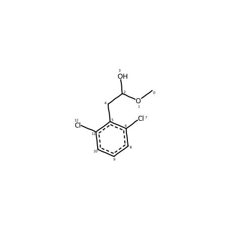 COC(O)Cc1c(Cl)cccc1Cl